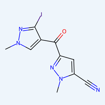 Cn1cc(C(=O)c2cc(C#N)n(C)n2)c(I)n1